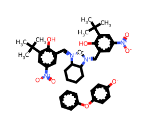 CC(C)(C)c1cc([N+](=O)[O-])cc(C=[N+]2[Cr][N+](=Cc3cc([N+](=O)[O-])cc(C(C)(C)C)c3O)C3CCCCC32)c1O.[O-]c1ccc(Oc2ccccc2)cc1